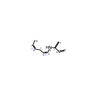 C=NC(=C)N/C=C\C/C=C\C